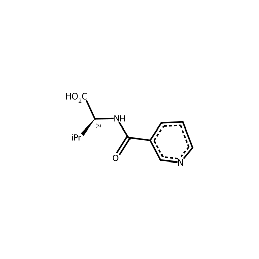 CC(C)[C@H](NC(=O)c1cccnc1)C(=O)O